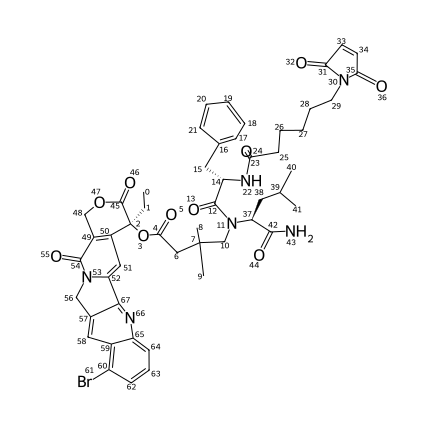 CC[C@@]1(OC(=O)CC(C)(C)CN(C(=O)[C@H](Cc2ccccc2)NC(=O)CCCCCN2C(=O)C=CC2=O)[C@@H](CC(C)C)C(N)=O)C(=O)OCc2c1cc1n(c2=O)Cc2cc3c(Br)cccc3nc2-1